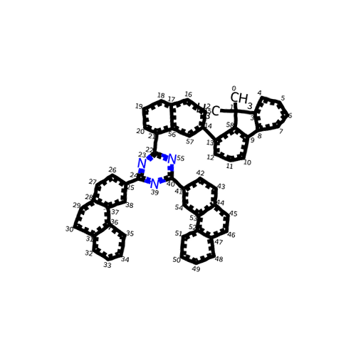 CC1(C)c2ccccc2-c2cccc(-c3ccc4cccc(-c5nc(-c6ccc7ccc8ccccc8c7c6)nc(-c6ccc7ccc8ccccc8c7c6)n5)c4c3)c21